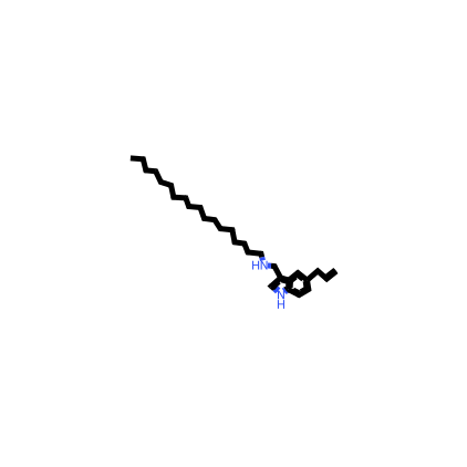 C=CCc1ccc2[nH]cc(CNCCCCCCCCCCCCCCCCCC)c2c1